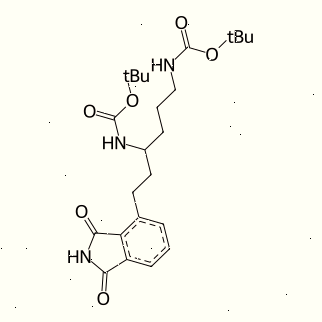 CC(C)(C)OC(=O)NCCCC(CCc1cccc2c1C(=O)NC2=O)NC(=O)OC(C)(C)C